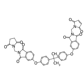 CC(C)(c1ccc(Oc2ccc3c(c2)C(=O)N(CN2C(=O)C=CC2=O)C3=O)cc1)c1ccc(Oc2ccc3c(c2)C(=O)N(CN2C(=O)CCC2=O)C3=O)cc1